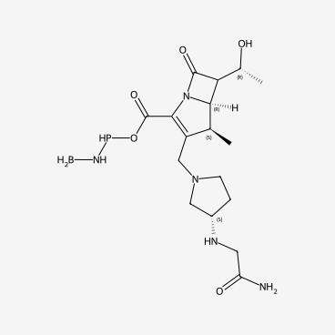 BNPOC(=O)C1=C(CN2CC[C@H](NCC(N)=O)C2)[C@H](C)[C@@H]2C([C@@H](C)O)C(=O)N12